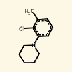 Cc1cccc(N2CCCCC2)c1Cl